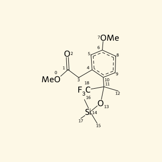 COC(=O)Cc1cc(OC)ccc1C(C)(O[Si](C)(C)C)C(F)(F)F